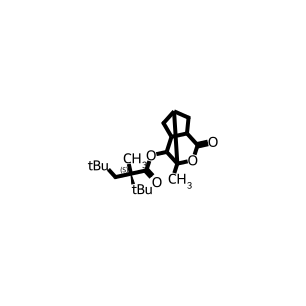 CC(C)(C)C[C@](C)(C(=O)OC1C2CC3CC2C(=O)OC31C)C(C)(C)C